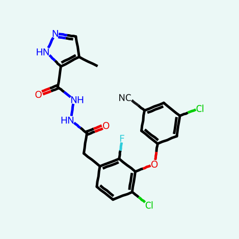 Cc1cn[nH]c1C(=O)NNC(=O)Cc1ccc(Cl)c(Oc2cc(Cl)cc(C#N)c2)c1F